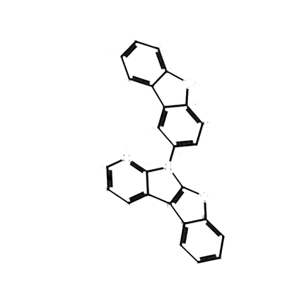 c1ccc2c(c1)oc1c2c2cccnc2n1-c1ccc2sc3ccccc3c2c1